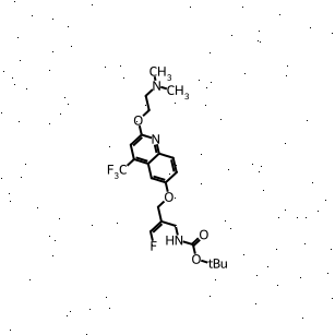 CN(C)CCOc1cc(C(F)(F)F)c2cc(OC/C(=C/F)CNC(=O)OC(C)(C)C)ccc2n1